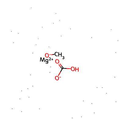 C[O-].O=C([O-])O.[Mg+2]